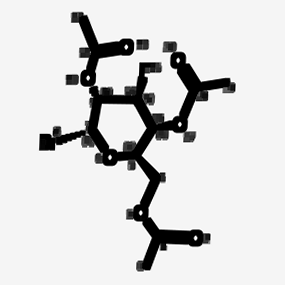 CC(=O)OC[C@H]1O[C@H](Br)[C@H](OC(C)=O)[C@@H](F)[C@H]1OC(C)=O